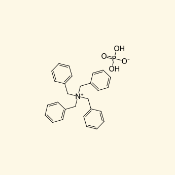 O=P([O-])(O)O.c1ccc(C[N+](Cc2ccccc2)(Cc2ccccc2)Cc2ccccc2)cc1